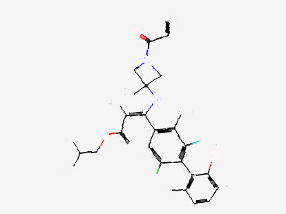 C=CC(=O)N1CC(N/C(=C(\CCC)C(=C)OCC(CCCC)C(C)CC)c2cc(Cl)c(-c3c(C)cccc3O)c(F)c2CCC)(C(C)=O)C1